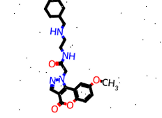 COc1ccc2oc(=O)c3cnn(CC(=O)NCCNCC4CCCCC4)c3c2c1